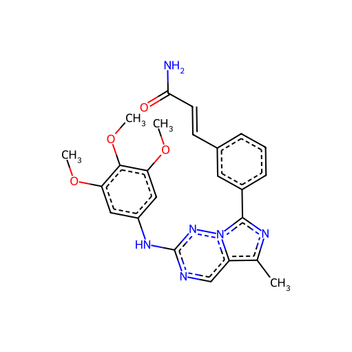 COc1cc(Nc2ncc3c(C)nc(-c4cccc(/C=C/C(N)=O)c4)n3n2)cc(OC)c1OC